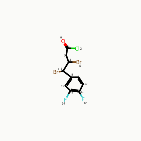 O=C(Cl)CC(Br)C(Br)c1ccc(F)c(F)c1